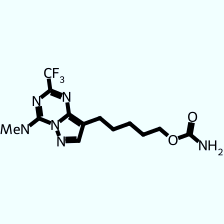 CNc1nc(C(F)(F)F)nc2c(CCCCCOC(N)=O)cnn12